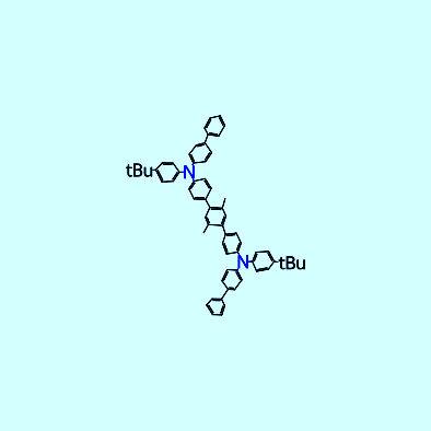 Cc1cc(-c2ccc(N(c3ccc(-c4ccccc4)cc3)c3ccc(C(C)(C)C)cc3)cc2)c(C)cc1-c1ccc(N(c2ccc(-c3ccccc3)cc2)c2ccc(C(C)(C)C)cc2)cc1